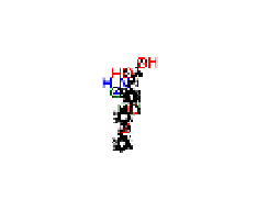 Cl.NC(CC(O)CCO)c1ccc(Oc2cccc(OCc3ccccc3)c2)cc1Cl